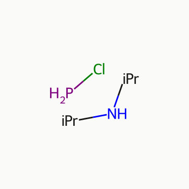 CC(C)NC(C)C.PCl